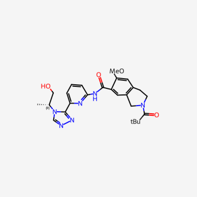 COc1cc2c(cc1C(=O)Nc1cccc(-c3nncn3[C@H](C)CO)n1)CN(C(=O)C(C)(C)C)CC2